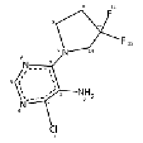 Nc1c(Cl)ncnc1N1CCC(F)(F)C1